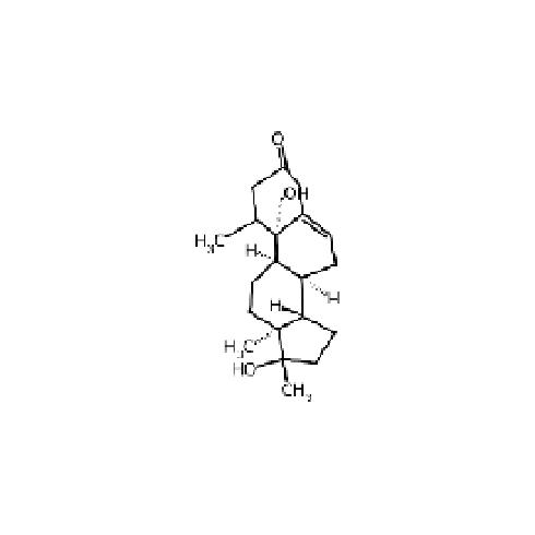 CC1CC(=O)CC2=CC[C@@H]3[C@@H](CC[C@@]4(C)[C@H]3CCC4(C)O)[C@]21CO